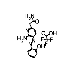 NC(=O)Cc1ccc(N=Nc2ccccc2O)c(N)n1.O=C(O)C(F)(F)F